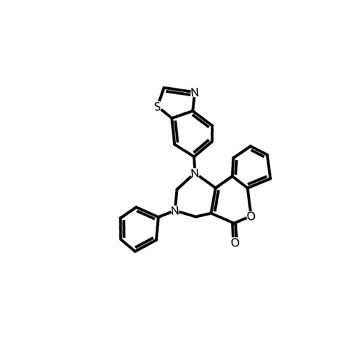 O=c1oc2ccccc2c2c1CN(c1ccccc1)CN2c1ccc2ncsc2c1